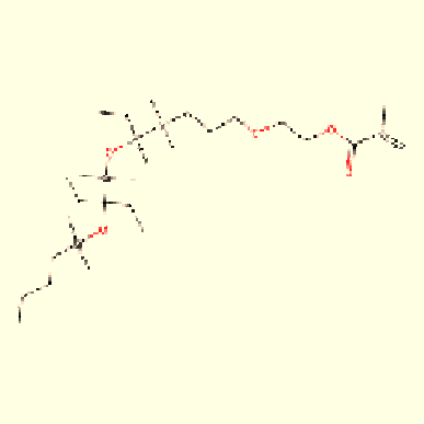 C=C(C)C(=O)OCCOCCC[Si](C)(C)C(C)(CC)O[Si](C)(C)C(CC)(CC)O[Si](C)(C)CCCC